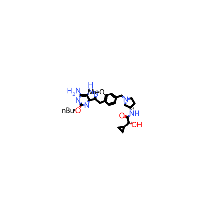 CCCCOc1nc(N)c2[nH]nc(Cc3ccc(CN4CC[C@H](NC(=O)[C@H](O)C5CC5)C4)cc3OC)c2n1